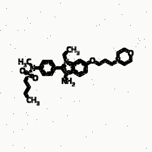 CCCCS(=O)(=O)N(C)c1ccc(-c2c(N)c3ccc(OCCCN4CCOCC4)cc3n2CC)cc1